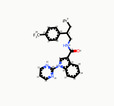 CC(C)CC(CNC(=O)c1cn(-c2ncccn2)c2ccccc12)c1ccc(C(F)(F)F)cc1